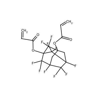 C=CC(=O)OC12CC3(F)C(F)(F)C(F)(C1)C(F)(F)C(OC(=O)C=C)(C2(F)F)C3(F)F